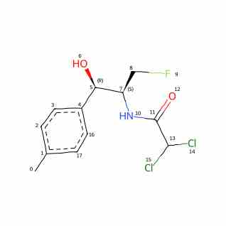 Cc1ccc([C@@H](O)[C@@H](CF)NC(=O)C(Cl)Cl)cc1